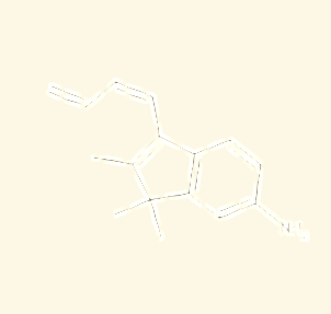 C=C/C=C\C1=C(C)C(C)(C)c2cc(N)ccc21